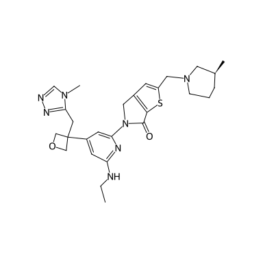 CCNc1cc(C2(Cc3nncn3C)COC2)cc(N2Cc3cc(CN4CCC[C@H](C)C4)sc3C2=O)n1